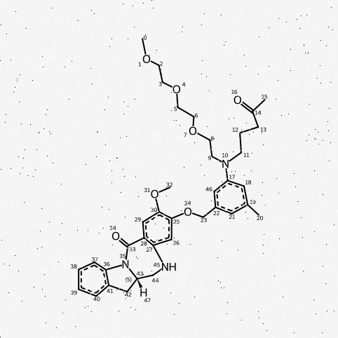 COCCOCCOCCN(CCCC(C)=O)c1cc(C)cc(COc2cc3c(cc2OC)C(=O)N2c4ccccc4C[C@H]2CN3)c1